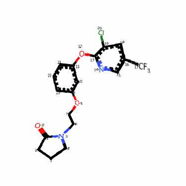 O=C1CCCN1CCOc1[c]c(Oc2ncc(C(F)(F)F)cc2Cl)ccc1